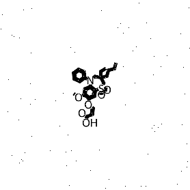 CCCCC1(CC)CN(c2ccccc2)c2cc(OC)c(O/C=C\C(=O)O)cc2S(=O)(=O)C1